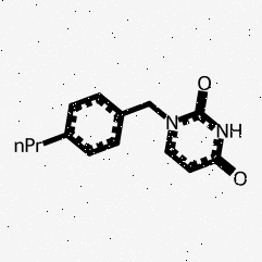 CCCc1ccc(Cn2ccc(=O)[nH]c2=O)cc1